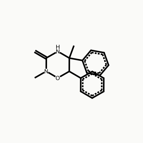 C=C1NC(C)(c2ccccc2)C(c2ccccc2)ON1C